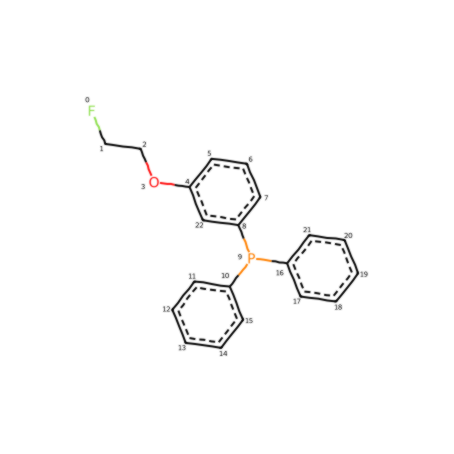 FCCOc1cccc(P(c2ccccc2)c2ccccc2)c1